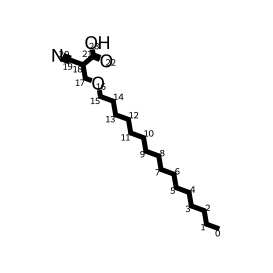 CCCCCCCCCCCCCCCCOCC(C#N)C(=O)O